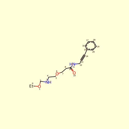 CCOCNCCOCCC(=O)NCC#Cc1ccccc1